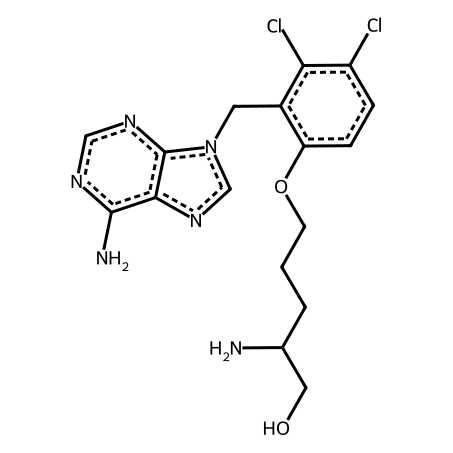 Nc1ncnc2c1ncn2Cc1c(OCCCC(N)CO)ccc(Cl)c1Cl